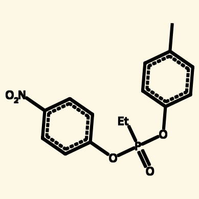 CCP(=O)(Oc1ccc(C)cc1)Oc1ccc([N+](=O)[O-])cc1